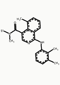 CCN(C)C(=O)c1cnc(Nc2cccc(C)c2C)c2cccc(C)c12